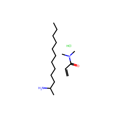 C=CC(=O)N(C)C.CCCCCCCCCCC(C)N.Cl